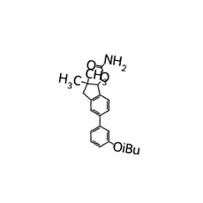 CC(C)COc1cccc(-c2ccc3c(c2)CC(C)(C)C3OC(N)=O)c1